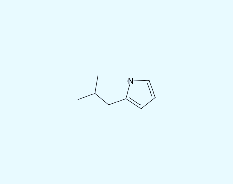 CC(C)CC1=CC=C[N]1